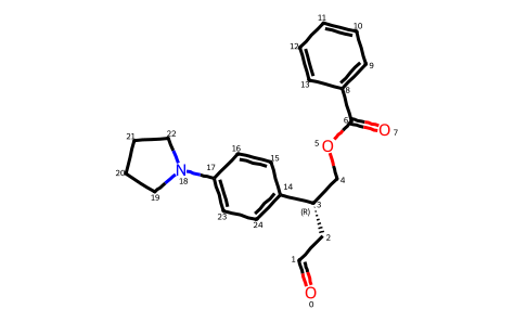 O=CC[C@@H](COC(=O)c1ccccc1)c1ccc(N2CCCC2)cc1